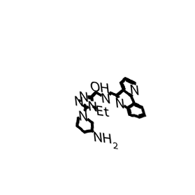 CCn1c(C(=O)NCc2nc3ccccc3c3ncccc23)nnc1N1CCCC(N)C1